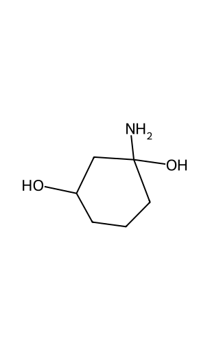 NC1(O)CCCC(O)C1